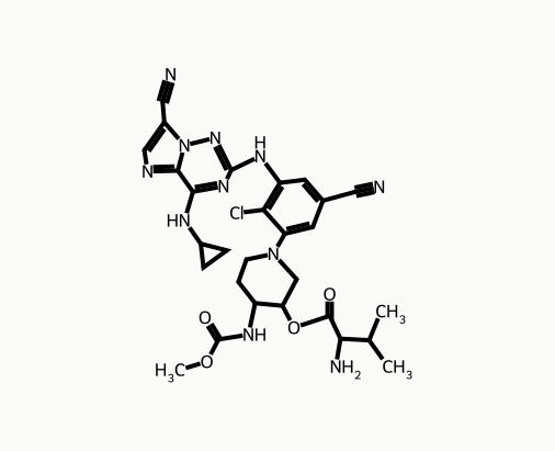 COC(=O)NC1CCN(c2cc(C#N)cc(Nc3nc(NC4CC4)c4ncc(C#N)n4n3)c2Cl)CC1OC(=O)C(N)C(C)C